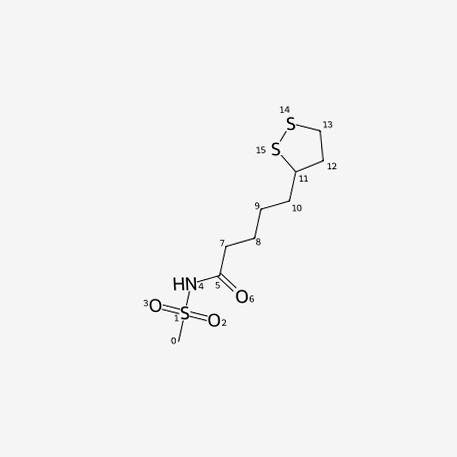 CS(=O)(=O)NC(=O)CCCCC1CCSS1